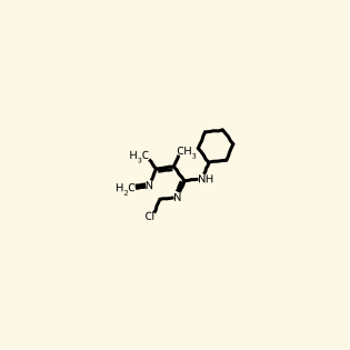 C=N/C(C)=C(C)\C(=N/CCl)NC1CCCCC1